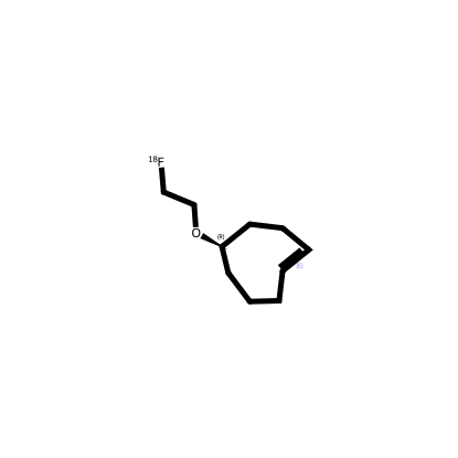 [18F]CCO[C@H]1CC/C=C/CCC1